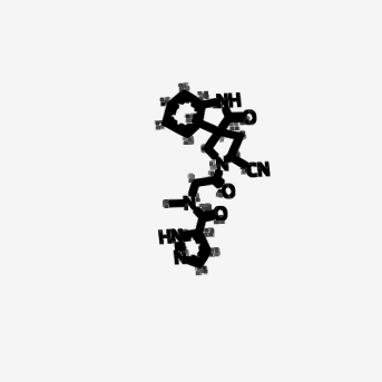 CN(CC(=O)N1CC2(CC1C#N)C(=O)Nc1ccccc12)C(=O)c1ccn[nH]1